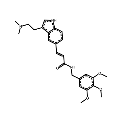 COc1cc(CNC(=O)/C=C/c2ccc3[nH]cc(CCN(C)C)c3c2)cc(OC)c1OC